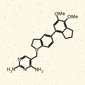 COc1cc(-c2ccc3c(c2)CCN3Cc2cnc(N)nc2N)c2c(c1OC)CCC2